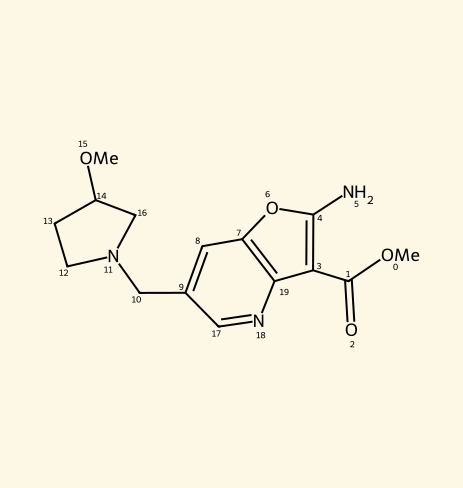 COC(=O)c1c(N)oc2cc(CN3CCC(OC)C3)cnc12